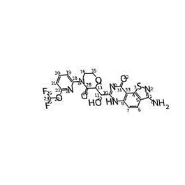 Nc1nsc2c1ccc1[nH]c([C@H](O)C3OCCN(c4cccc(OC(F)F)n4)C3=O)nc(=O)c12